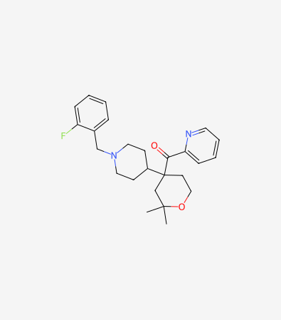 CC1(C)CC(C(=O)c2ccccn2)(C2CCN(Cc3ccccc3F)CC2)CCO1